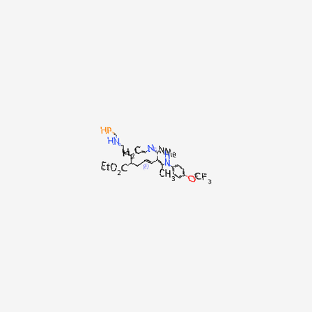 C=C/N=C(/NC)C(/C=C/CC(CCCNC=P)C(=O)OCC)=C(C)Nc1ccc(OC(F)(F)F)cc1